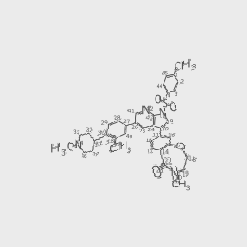 Cc1ccc(S(=O)(=O)n2cc(-c3ccc4c(c3)OCCN(C)C4=O)c3cc(-c4ccc(C5CCN(C)CC5)c(C)c4)cnc32)cc1